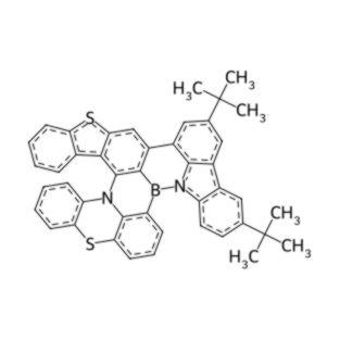 CC(C)(C)c1ccc2c(c1)c1cc(C(C)(C)C)cc3c1n2B1c2cccc4c2N(c2ccccc2S4)c2c1c-3cc1sc3ccccc3c21